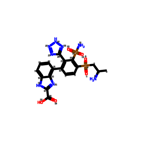 CC(N)CS(=O)(=O)c1ccc(-c2cccc3[nH]c(C(=O)O)nc23)c(-c2nn[nH]n2)c1S(N)(=O)=O